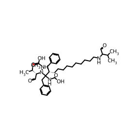 CC(C)C(C=O)NCCCCCCCCCC[C@@H](Cc1ccccc1)C(Cc1ccccc1)(NC(=O)O)N(NC(=O)O)[C@H](C=O)C(C)C